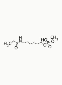 C=CC(=O)NCCCCCCOP(=O)(O)OC